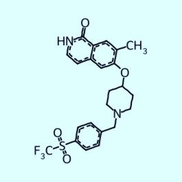 Cc1cc2c(=O)[nH]ccc2cc1OC1CCN(Cc2ccc(S(=O)(=O)C(F)(F)F)cc2)CC1